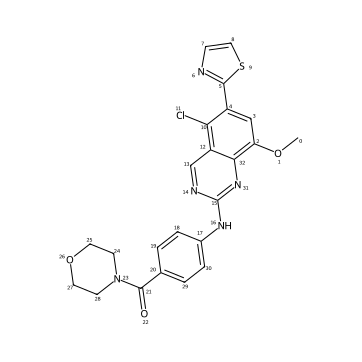 COc1cc(-c2nccs2)c(Cl)c2cnc(Nc3ccc(C(=O)N4CCOCC4)cc3)nc12